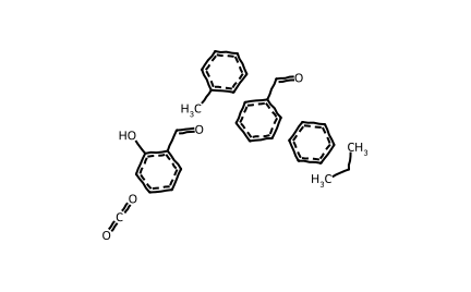 CCC.Cc1ccccc1.O=C=O.O=Cc1ccccc1.O=Cc1ccccc1O.c1ccccc1